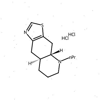 CCCN1CCC[C@H]2Cc3ncsc3C[C@@H]21.Cl.Cl